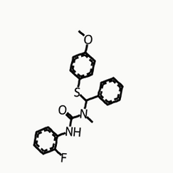 COc1ccc(SC(c2ccccc2)N(C)C(=O)Nc2ccccc2F)cc1